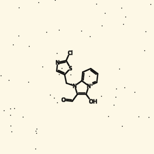 O=Cc1c(O)[n+]2ccccc2n1Cc1cnc(Cl)s1